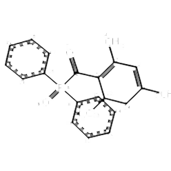 CC1=CC(C)=C(C(=O)P(=O)(c2ccccc2)c2ccccc2)C(C)C1